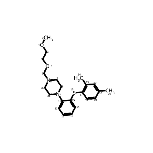 COCCOCN1CCN(c2ccccc2Sc2ccc(C)cc2C)CC1